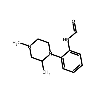 CC1CN(C)CCN1c1ccccc1N[C]=O